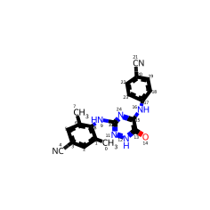 Cc1cc(C#N)cc(C)c1Nc1n[nH]c(=O)c(Nc2ccc(C#N)cc2)n1